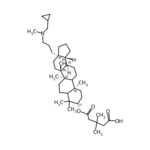 CN(CCC[C@]12CCC[C@@H]1[C@H]1CCC3[C@@]4(C)CC[C@H](OC(=O)CC(C)(C)CC(=O)O)C(C)(C)C4CC[C@@]3(C)[C@]1(C)CC2)CC1CC1